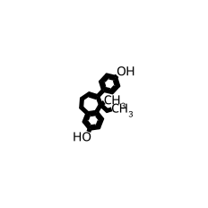 CCC1(C)C(c2ccc(O)cc2)=CCCc2cc(O)ccc21